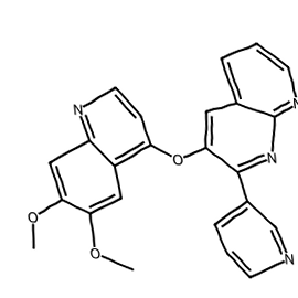 COc1cc2nccc(Oc3cc4cccnc4nc3-c3cccnc3)c2cc1OC